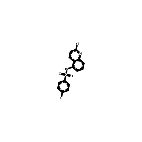 O=S(=O)(Nc1cccc2nc(Cl)ccc12)c1ccc(F)cc1